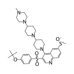 CN1CCN(C2CCN(C3CCN(c4c(S(=O)(=O)c5ccc(OC(C)(C)C)cc5)cnc5ccc([S+](C)[O-])cc45)CC3)CC2)CC1